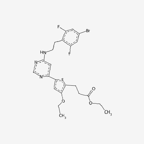 CCOC(=O)CCc1sc(-c2cc(NCCc3c(F)cc(Br)cc3F)ncn2)cc1OCC